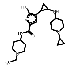 Cc1sc(C(=O)NC2CCN(CC(F)(F)F)CC2)cc1C1CC1NC1CCN(C2CC2)CC1